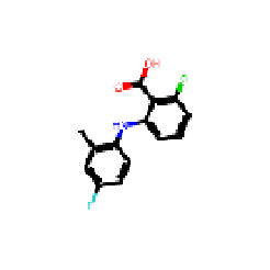 Cc1cc(F)ccc1Nc1cccc(Cl)c1C(=O)O